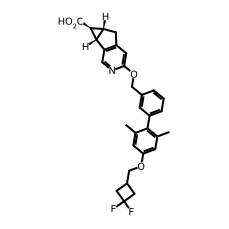 Cc1cc(OCC2CC(F)(F)C2)cc(C)c1-c1cccc(COc2cc3c(cn2)[C@H]2[C@@H](C3)[C@@H]2C(=O)O)c1